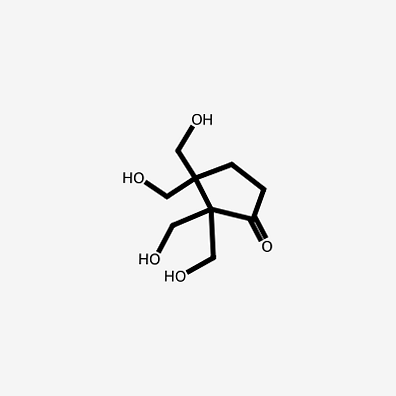 O=C1CCC(CO)(CO)C1(CO)CO